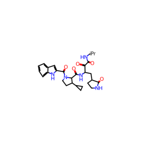 CC(C)NC(=O)C(=O)C(CC1CCNC1=O)NC(=O)C1C(C2CC2)CCN1C(=O)c1cc2ccccc2[nH]1